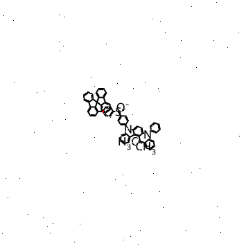 CC1(C)c2ccccc2N(c2ccccc2)c2ccc3c(c21)c1ccccc1n3-c1ccc([S+]([O-])c2ccc(-c3cccc4c3C3(c5ccccc5-c5ccccc53)c3ccccc3-4)cc2)cc1